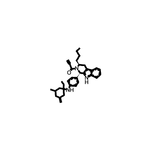 C#CC(=O)N1[C@@H](CCCC)Cc2c([nH]c3ccccc23)[C@@H]1c1ccc(NC2(CC)CC(=C)CC(C)C2)cc1